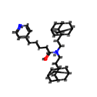 O=C(CCCCc1ccncc1)N(CCC12CC3CC(CC(C3)C1)C2)CCC12CC3CC(CC(C3)C1)C2